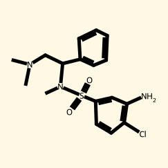 CN(C)CC(c1ccccc1)N(C)S(=O)(=O)c1ccc(Cl)c(N)c1